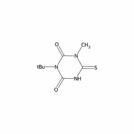 Cn1c(=S)[nH]c(=O)n(C(C)(C)C)c1=O